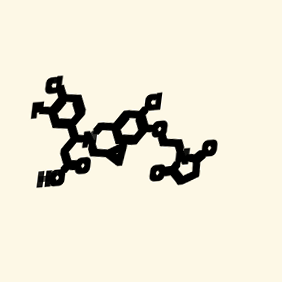 O=C(O)CC(c1ccc(Cl)c(F)c1)N(Cc1ccc(OCCN2C(=O)CCC2=O)c(Cl)c1)CC1CC1